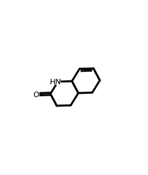 O=C1CCC2CCC=CC2N1